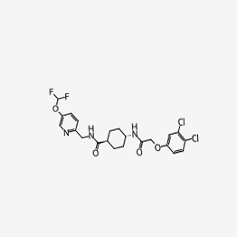 O=C(COc1ccc(Cl)c(Cl)c1)N[C@H]1CC[C@H](C(=O)NCc2ccc(OC(F)F)cn2)CC1